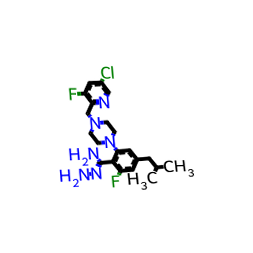 CC(C)Cc1cc(F)c(/C(N)=N/N)c(N2CCN(Cc3ncc(Cl)cc3F)CC2)c1